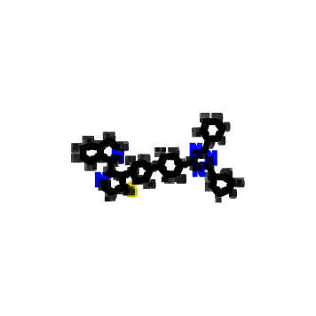 c1ccc(-c2nc(-c3ccccc3)nc(-c3ccc(-c4ccc5c(c4)sc4ccnc(-c6nccc7ccccc67)c45)cc3)n2)cc1